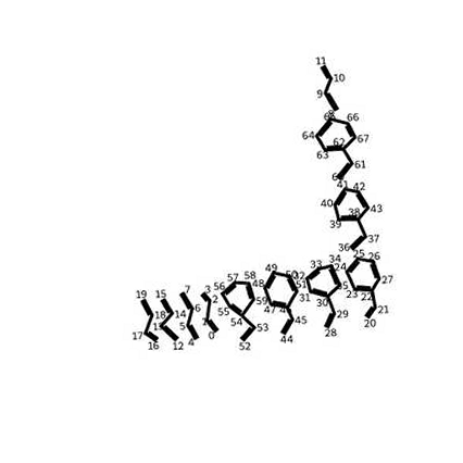 C=CC=C.C=CC=C.C=CC=C.C=CC=C.C=CC=C.C=Cc1ccccc1.C=Cc1ccccc1.C=Cc1ccccc1.C=Cc1ccccc1.C=Cc1ccccc1.C=Cc1ccccc1